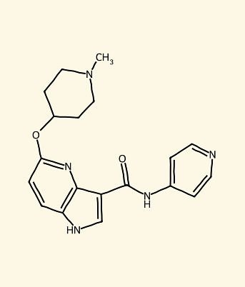 CN1CCC(Oc2ccc3[nH]cc(C(=O)Nc4ccncc4)c3n2)CC1